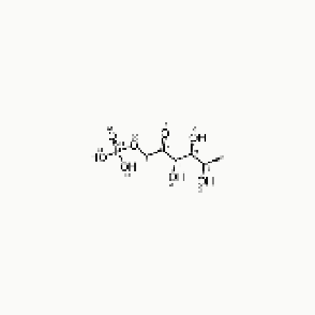 C[C@@H](O)[C@H](O)[C@@H](O)C(=O)COP(=O)(O)O